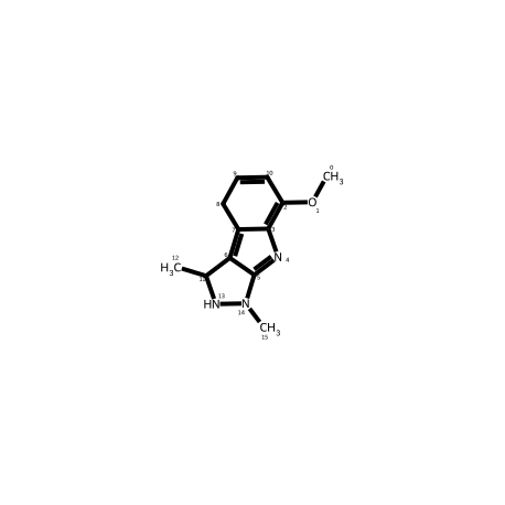 COC1=C2N=C3C(=C2CC=C1)C(C)NN3C